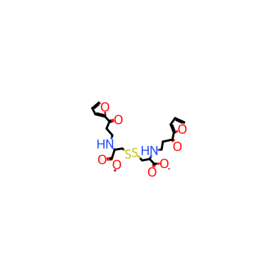 COC(=O)C(CSSCC(NCCC(=O)c1ccco1)C(=O)OC)NCCC(=O)c1ccco1